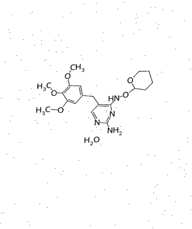 COc1cc(Cc2cnc(N)nc2NOC2CCCCO2)cc(OC)c1OC.O